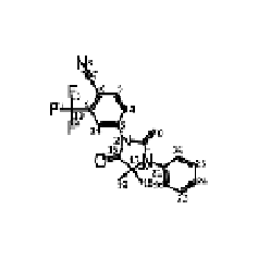 C=C1N(c2ccc(C#N)c(C(F)(F)F)c2)C(=O)C(C)(C)N1c1ccccc1